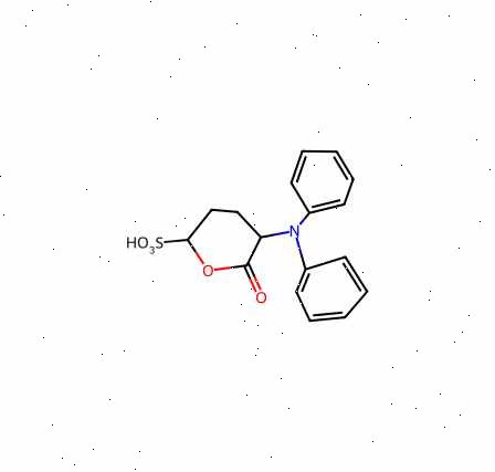 O=C1OC(S(=O)(=O)O)CCC1N(c1ccccc1)c1ccccc1